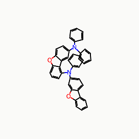 c1ccc(N(c2ccccc2)c2ccc3oc4cccc(N(c5ccccc5)c5ccc6c(c5)oc5ccccc56)c4c3c2)cc1